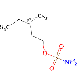 CC[C@H](C)CCOS(N)(=O)=O